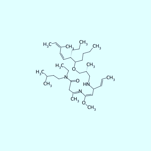 CC=CC(/C=C(\N=C(/C)CC(=O)N(CC)CCC(C)C)OC)NC[C@@H](C)COC(CCCC)[C@H](/C=C\C(C)=C/C)CCC